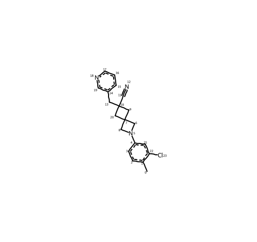 Cc1ccc(N2CC3(C2)CC(C#N)(Cc2cccnc2)C3)cc1Cl